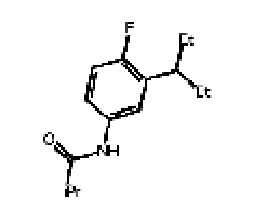 CCC(CC)c1cc(NC(=O)C(C)C)ccc1F